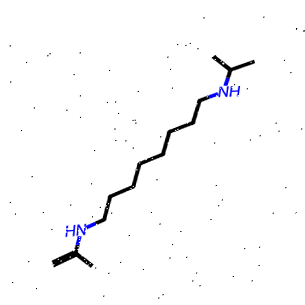 C=C(C)NCCCCCCCCNC(C)C